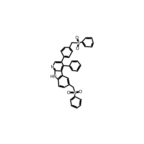 O=S(=O)(Cc1ccc(-c2cnc3[nH]c4ccc(CS(=O)(=O)c5ccccc5)cc4c3c2-c2ccccc2)cc1)c1ccccc1